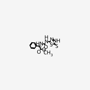 COC(=O)[C@@H](NC(=O)Nc1n[nH]c(=S)s1)c1ccccc1